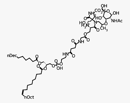 CCCCCCCC/C=C\CCCCCCCC(=O)O[C@H](COC(=O)CCCCCCCCCCCCCCC)COP(=O)(O)OCCNC(=O)CCC(=O)NCC(=O)OC[C@H](N)C(=O)N(CC(C)O[C@H]1[C@H](O)[C@@H](CO)O[C@H](O)[C@@H]1NC(C)=O)[C@@](CCC(=O)O)(C(N)=O)C(=O)O